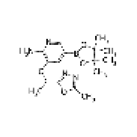 Cc1nnc(C(C)Oc2cc(B3OC(C)(C)C(C)(C)O3)cnc2N)o1